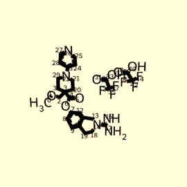 COCC1(C(=O)Oc2ccc3c(c2)CN(C(=N)N)CC3)CCN(c2ccncc2)CC1.O=C(O)C(F)(F)F.O=C(O)C(F)(F)F